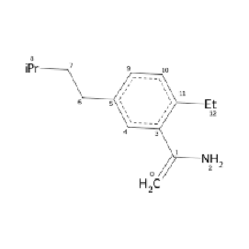 C=C(N)c1cc(CCC(C)C)ccc1CC